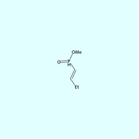 CCC=C[PH](=O)OC